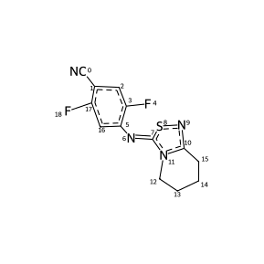 N#Cc1cc(F)c(/N=c2\snc3n2CCCC3)cc1F